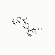 CCc1cc2c(N3CCN(C(=O)c4ccc5ccccc5n4)CC3)ncnc2s1